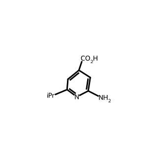 CC(C)c1cc(C(=O)O)cc(N)n1